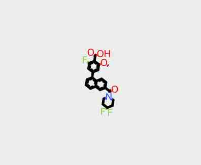 COc1cc(-c2cccc3cc(C(=O)N4CCC(F)(F)CC4)ccc23)cc(F)c1C(=O)O